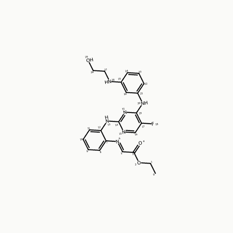 CCOC(=O)/C=N/c1ccccc1Nc1ncc(F)c(Nc2cccc(NCCO)c2)n1